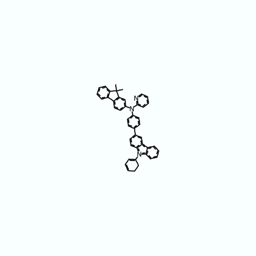 CC1(C)c2ccccc2-c2ccc(N(c3ccc(-c4ccc5c(c4)c4ccccc4n5C4=CC=CCC4)cc3)c3ccccn3)cc21